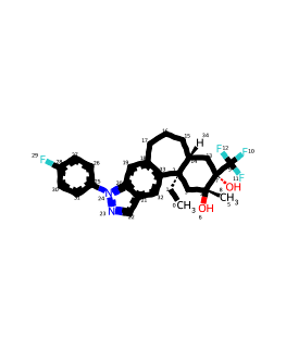 CC[C@@]12C[C@@](C)(O)[C@](O)(C(F)(F)F)C[C@H]1CCCc1cc3c(cnn3-c3ccc(F)cc3)cc12